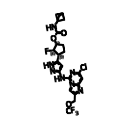 O=C(NC12CC(C1)C2)O[C@H]1CC[C@@H](c2cc(Nc3nc(Cl)cc4nc(COC(F)(F)F)cn34)n[nH]2)[C@H]1F